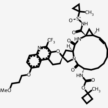 COCCCOc1ccc2nc(C(F)(F)F)c3c(c2c1)CC[C@]1(C[C@H]2C(=O)N[C@]4(C(=O)N[S@+]([O-])C5(C)CC5)C[C@H]4/C=C\CCCCC[C@H](NC(=O)OC4(C)CCC4)C(=O)N2C1)O3